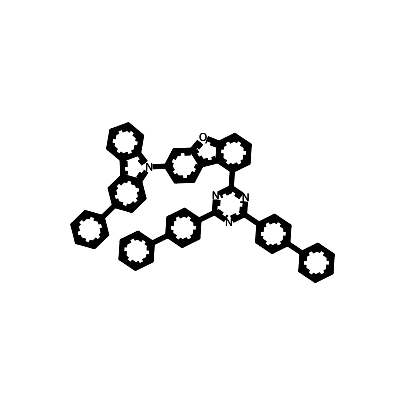 c1ccc(-c2ccc(-c3nc(-c4ccc(-c5ccccc5)cc4)nc(-c4cccc5oc6cc(-n7c8ccccc8c8cc(-c9ccccc9)ccc87)ccc6c45)n3)cc2)cc1